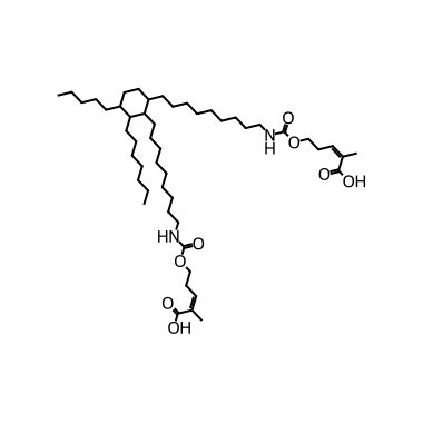 CCCCCCCC1C(CCCCC)CCC(CCCCCCCCCNC(=O)OCCC=C(C)C(=O)O)C1CCCCCCCCCNC(=O)OCCC=C(C)C(=O)O